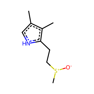 Cc1c[nH]c(CC[S+](C)[O-])c1C